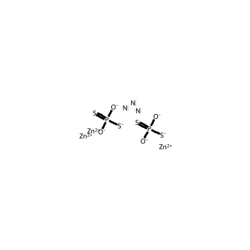 [N].[N].[N].[O-]P([O-])(=S)[S-].[O-]P([O-])(=S)[S-].[Zn+2].[Zn+2].[Zn+2]